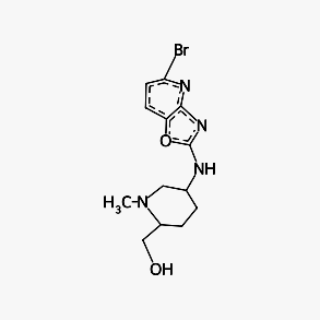 CN1CC(Nc2nc3nc(Br)ccc3o2)CCC1CO